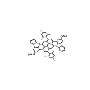 COc1cc2c3c(c1)-c1cc(-c4c(C)cc(C)cc4C)c4cc5c6c(cc(-c7c(C)cc(C)cc7C)c7cc(c1c4c76)B3c1ccccc1-2)-c1cc(OC)cc2c1B5c1ccccc1-2